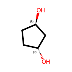 O[C@@H]1CC[C@@H](O)C1